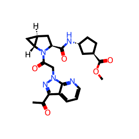 COC(=O)[C@@H]1CC[C@@H](NC(=O)[C@@H]2C[C@@H]3C[C@H]3N2C(=O)Cn2nc(C(C)=O)c3cccnc32)C1